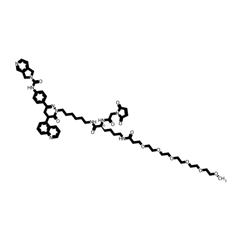 COCCOCCOCCOCCOCCOCCC(=O)NCCCC[C@H](NC(=O)CN1C(=O)C=CC1=O)C(=O)NCCCCCCN1N=C(c2ccc(NC(=O)N3Cc4ccncc4C3)cc2)CC(c2cccc3ncccc23)C1=O